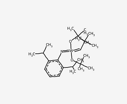 CC(C)c1cccc(C(C)C)c1[N]=[W](=[CH]C(C)(C)C)([O]C(C)(C)C)[O]C(C)(C)C